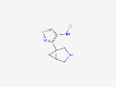 ClNc1conc1C12CNCC1C2